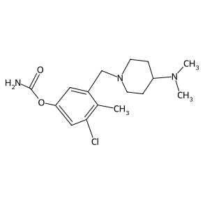 Cc1c(Cl)cc(OC(N)=O)cc1CN1CCC(N(C)C)CC1